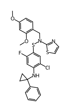 COc1ccc(CN(Sc2cc(Cl)c(NC3(c4ccccc4)CC3)cc2F)c2nccs2)c(OC)c1